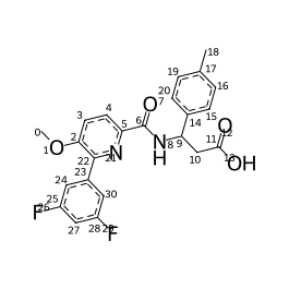 COc1ccc(C(=O)NC(CC(=O)O)c2ccc(C)cc2)nc1-c1cc(F)cc(F)c1